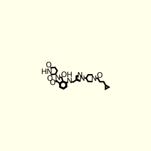 O=C1CCC(N2C(=O)c3cccc(NCc4cnn(C5CCN(C(=O)CCC6CC6)CC5)c4)c3C2=O)C(=O)N1